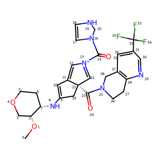 CO[C@@H]1COCC[C@@H]1NC1=CC2=C[N+](C(=O)N3C=CNC3)=C[C@@]2(C(=O)N2CCc3ncc(C(F)(F)F)cc3C2)C1